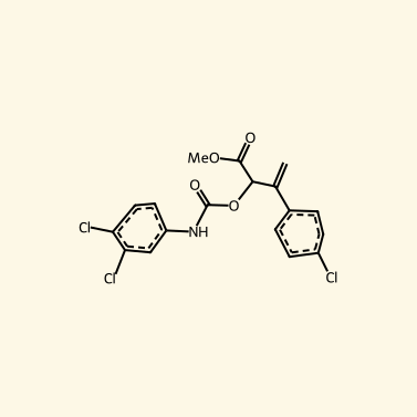 C=C(c1ccc(Cl)cc1)C(OC(=O)Nc1ccc(Cl)c(Cl)c1)C(=O)OC